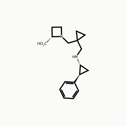 O=C(O)[C@@H]1CCN1CC1(CN[C@@H]2C[C@H]2c2ccccc2)CC1